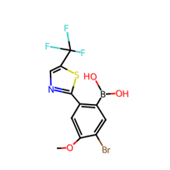 COc1cc(-c2ncc(C(F)(F)F)s2)c(B(O)O)cc1Br